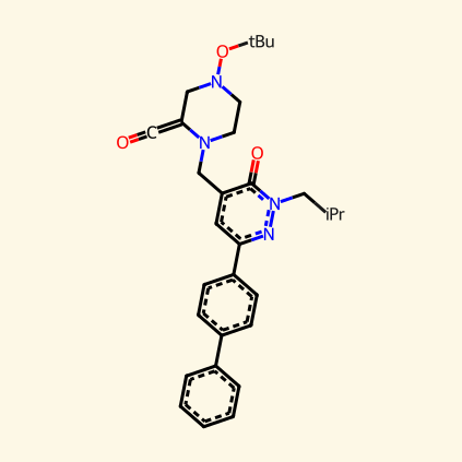 CC(C)Cn1nc(-c2ccc(-c3ccccc3)cc2)cc(CN2CCN(OC(C)(C)C)CC2=C=O)c1=O